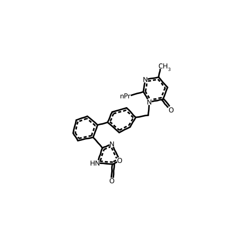 CCCc1nc(C)cc(=O)n1Cc1ccc(-c2ccccc2-c2noc(=O)[nH]2)cc1